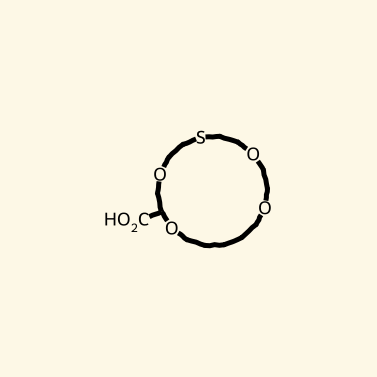 O=C(O)C1COCCSCCOCCOCCCCCO1